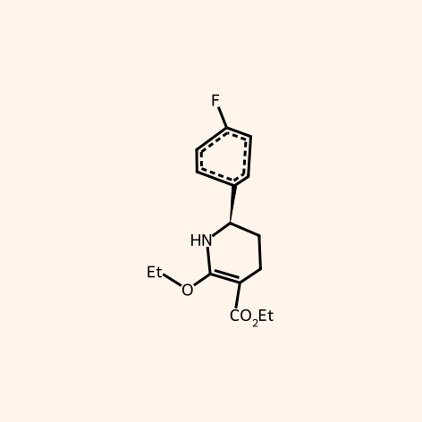 CCOC(=O)C1=C(OCC)N[C@@H](c2ccc(F)cc2)CC1